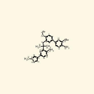 CC(C)Oc1ccc(-c2cnc(N)c(C(C)(C)C)n2)cc1CC(C)(C)c1nc(-c2cnn(C)c2)cnc1N